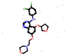 Fc1ccc(Nc2ncnc3cc(OCCN4CCOCC4)cc(OC4CCOC4)c23)cc1Cl